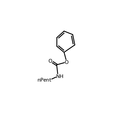 CCCCCNC(=O)Oc1ccccc1